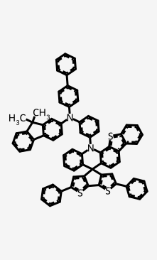 CC1(C)c2ccccc2-c2ccc(N(c3ccc(-c4ccccc4)cc3)c3cccc(N4c5ccccc5C5(c6cc(-c7ccccc7)sc6-c6sc(-c7ccccc7)cc65)c5ccc6c(sc7ccccc76)c54)c3)cc21